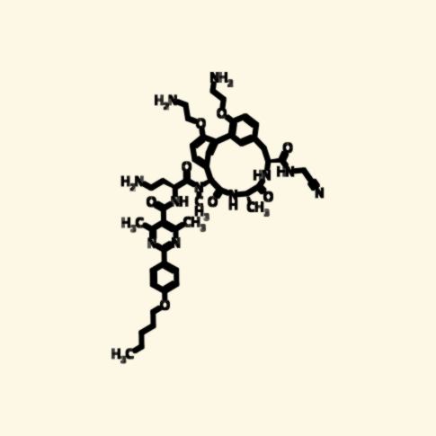 CCCCCOc1ccc(-c2nc(C)c(C(=O)N[C@@H](CCN)C(=O)N(C)[C@@H]3C(=O)N[C@@H](C)C(=O)N[C@H](C(=O)NCC#N)Cc4ccc(OCCN)c(c4)-c4cc3ccc4OCCN)c(C)n2)cc1